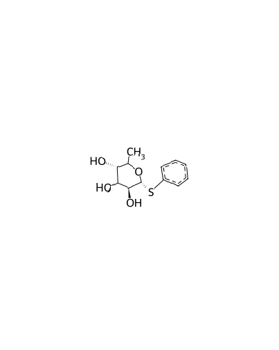 CC1O[C@H](Sc2ccccc2)[C@@H](O)C(O)[C@@H]1O